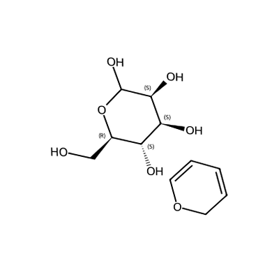 C1=CCOC=C1.OC[C@H]1OC(O)[C@@H](O)[C@@H](O)[C@@H]1O